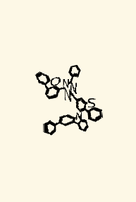 c1ccc(-c2ccc3c(c2)c2ccccc2n3-c2cc(-c3nc(-c4ccccc4)nc(-c4cccc5c4oc4ccccc45)n3)cc3sc4ccccc4c23)cc1